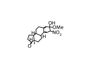 COC1(O)C=C2CC[C@@H]3[C@H](CC[C@]4(C)C(=O)CC[C@@H]34)C2=CC1[N+](=O)[O-]